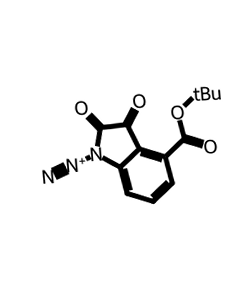 CC(C)(C)OC(=O)c1cccc2c1C(=O)C(=O)N2[N+]#N